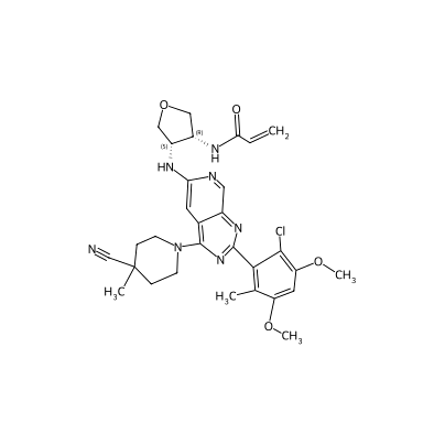 C=CC(=O)N[C@H]1COC[C@H]1Nc1cc2c(N3CCC(C)(C#N)CC3)nc(-c3c(C)c(OC)cc(OC)c3Cl)nc2cn1